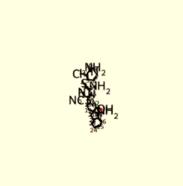 N#Cc1nc(Sc2ccnc(N)c2Cl)c(N)nc1N1CCC2(Cc3ccccc3[C@H]2N)C(O)C1